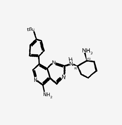 CC(C)(C)c1ccc(-c2cnc(N)c3cnc(N[C@@H]4CCCC[C@@H]4N)nc23)cc1